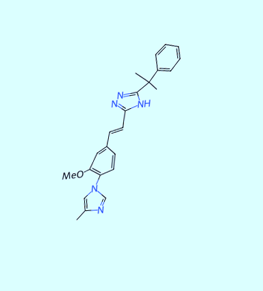 COc1cc(C=Cc2nnc(C(C)(C)c3ccccc3)[nH]2)ccc1-n1cnc(C)c1